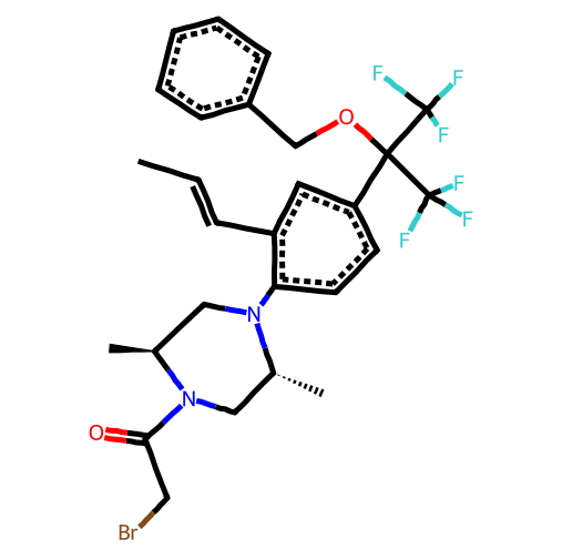 CC=Cc1cc(C(OCc2ccccc2)(C(F)(F)F)C(F)(F)F)ccc1N1C[C@H](C)N(C(=O)CBr)C[C@H]1C